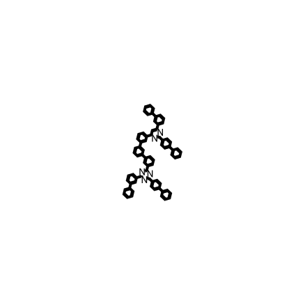 c1ccc(-c2ccc(-c3nc(-c4cccc(-c5ccccc5)c4)cc(-c4cccc(-c5cccc(-c6cccc(-c7nc(-c8ccc(-c9ccccc9)cc8)nc(-c8cccc(-c9ccccc9)c8)n7)c6)c5)c4)n3)cc2)cc1